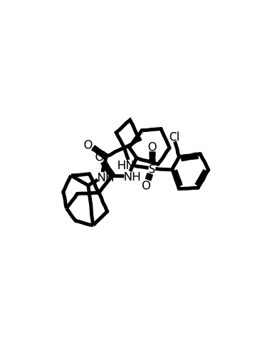 O=C(NC1CCCCC1)C12CC3CC(C1)C(NC(=O)C1(NS(=O)(=O)c4ccccc4Cl)CCC1)C(C3)C2